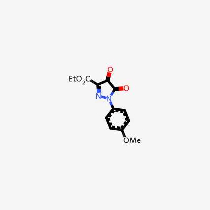 CCOC(=O)C1=NN(c2ccc(OC)cc2)C(=O)C1=O